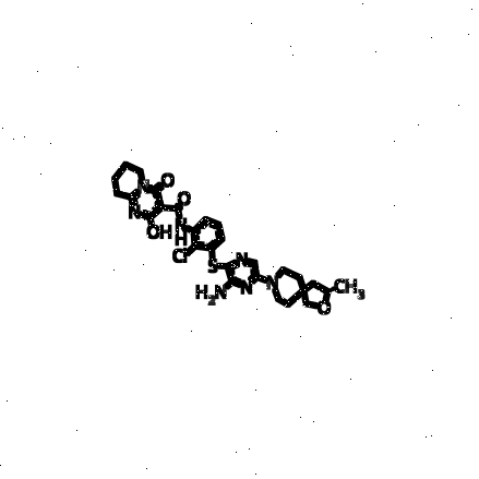 C[C@H]1CC2(CCN(c3cnc(Sc4cccc(NC(=O)c5c(O)nc6n(c5=O)CCCC6)c4Cl)c(N)n3)CC2)CO1